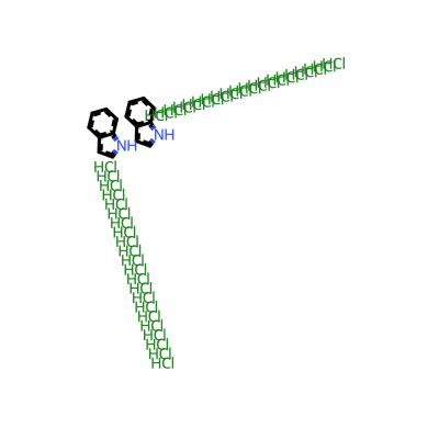 Cl.Cl.Cl.Cl.Cl.Cl.Cl.Cl.Cl.Cl.Cl.Cl.Cl.Cl.Cl.Cl.Cl.Cl.Cl.Cl.Cl.Cl.Cl.Cl.Cl.Cl.Cl.Cl.Cl.Cl.Cl.Cl.Cl.Cl.Cl.Cl.Cl.Cl.Cl.Cl.Cl.Cl.c1ccc2[nH]ccc2c1.c1ccc2[nH]ccc2c1